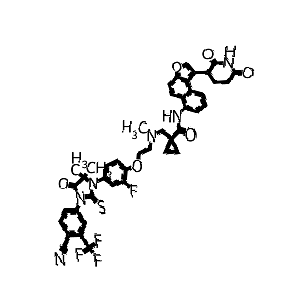 CN(CCOc1ccc(N2C(=S)N(c3ccc(C#N)c(C(F)(F)F)c3)C(=O)C2(C)C)cc1F)CC1(C(=O)Nc2cccc3c2ccc2occ(C4CCC(=O)NC4=O)c23)CC1